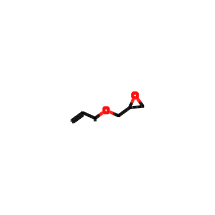 C=C[CH]OCC1CO1